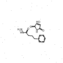 Cl.NNC(=O)CCCc1ccccc1.O=C1C=CC(=O)N1